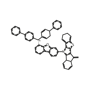 C=C1c2c(n(-c3ccc4c(c3)oc3c([C@@H](C5=CCC(c6ccccc6)C=C5)c5ccc(-c6ccccc6)cc5)cccc34)c3c4c(sc23)=CCCC=4)C2C=CC=CC12